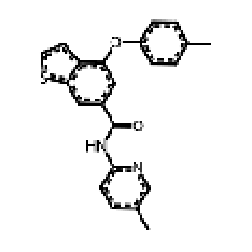 Cc1ccc(Oc2cc(C(=O)Nc3ccc(C)cn3)cc3sccc23)cc1